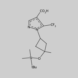 CC1(O[Si](C)(C)C(C)(C)C)CC(n2ncc(C(=O)O)c2C(F)(F)F)C1